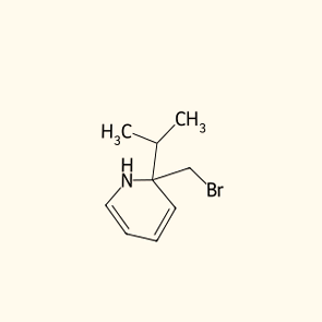 CC(C)C1(CBr)C=CC=CN1